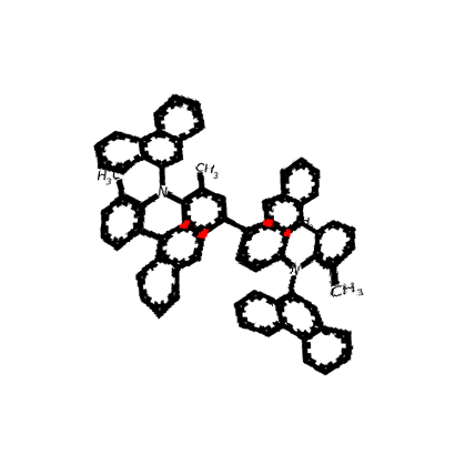 Cc1cc(-c2ccc(N(c3c(C)cccc3-c3cccc4ccccc34)c3cc4ccccc4c4ccccc34)c(C)c2)ccc1N(c1c(C)cccc1-c1cccc2ccccc12)c1cc2ccccc2c2ccccc12